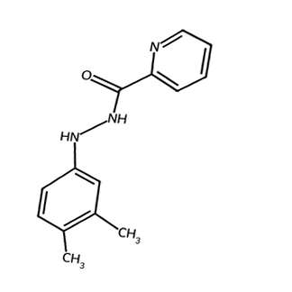 Cc1ccc(NNC(=O)c2ccccn2)cc1C